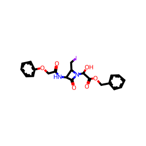 O=C(COc1ccccc1)NC1C(=O)N(C(O)C(=O)OCc2ccccc2)C1CI